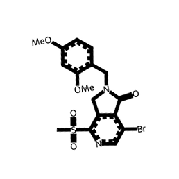 COc1ccc(CN2Cc3c(S(C)(=O)=O)ncc(Br)c3C2=O)c(OC)c1